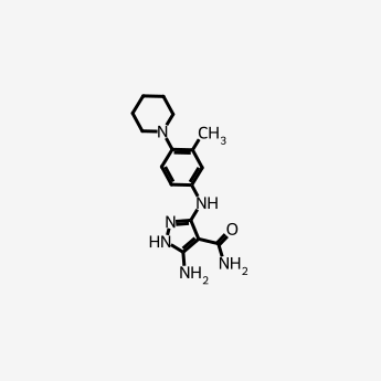 Cc1cc(Nc2n[nH]c(N)c2C(N)=O)ccc1N1CCCCC1